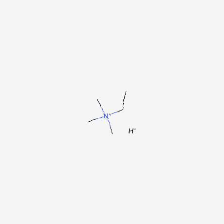 CC[N+](C)(C)C.[H-]